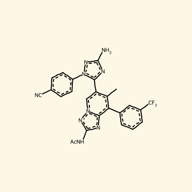 CC(=O)Nc1nc2c(-c3cccc(C(F)(F)F)c3)c(C)c(-c3nc(N)nn3-c3ccc(C#N)cc3)cn2n1